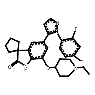 CCN1CCC(Oc2cc(-c3ccnn3-c3ccc(F)cc3F)cc3c2NC(=O)C32CCCC2)CC1